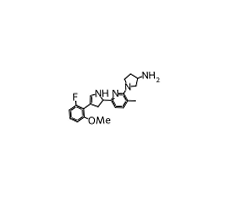 COc1cccc(F)c1C1=CNC(c2ccc(C)c(N3CCC(N)C3)n2)C1